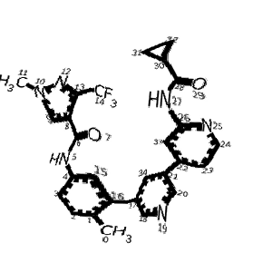 Cc1ccc(NC(=O)c2cn(C)nc2C(F)(F)F)cc1-c1cncc(-c2ccnc(NC(=O)C3CC3)c2)c1